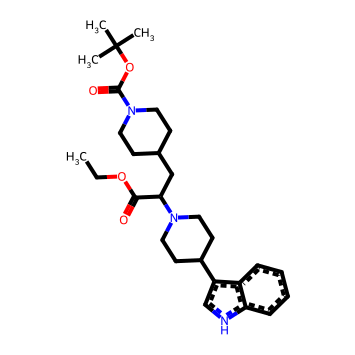 CCOC(=O)C(CC1CCN(C(=O)OC(C)(C)C)CC1)N1CCC(c2c[nH]c3ccccc23)CC1